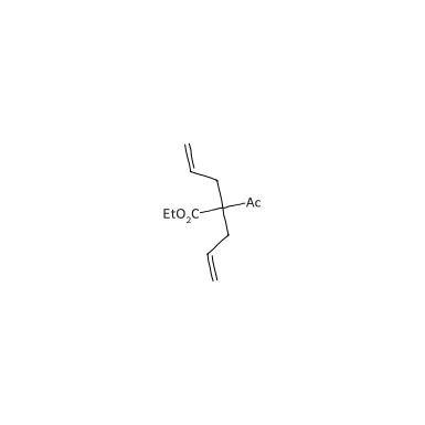 C=CCC(CC=C)(C(C)=O)C(=O)OCC